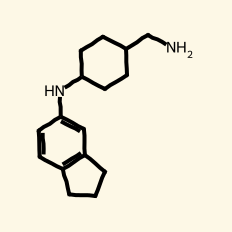 NCC1CCC(Nc2ccc3c(c2)CCC3)CC1